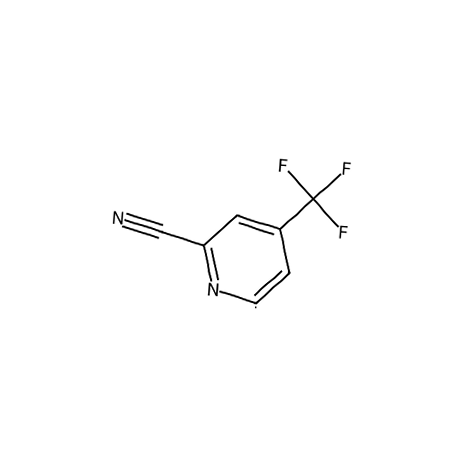 N#Cc1cc(C(F)(F)F)c[c]n1